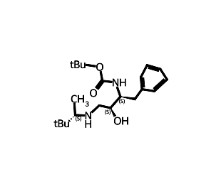 C[C@H](NC[C@H](O)[C@H](Cc1ccccc1)NC(=O)OC(C)(C)C)C(C)(C)C